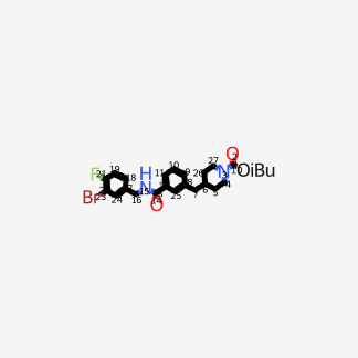 CC(C)COC(=O)N1CCC(Cc2cccc(C(=O)NCc3ccc(F)c(Br)c3)c2)CC1